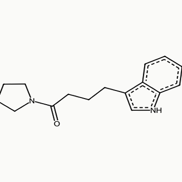 O=C(CCCc1c[nH]c2ccccc12)N1CCCC1